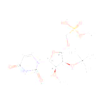 CO[C@@H]1[C@H](OC(C)(C)C)[C@@H](OCP(=O)(O)OC)O[C@H]1n1ccc(=O)[nH]c1=O